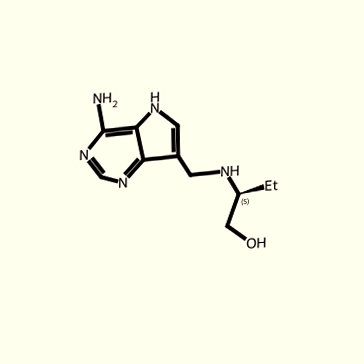 CC[C@@H](CO)NCc1c[nH]c2c(N)ncnc12